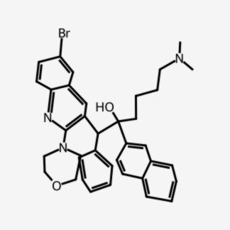 CN(C)CCCCC(O)(c1ccc2ccccc2c1)C(c1ccccc1)c1cc2cc(Br)ccc2nc1N1CCOCC1